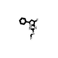 FCSc1nc2n(n1)C(c1ccccc1)CC2F